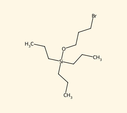 CCC[Si](CCC)(CCC)OCCCBr